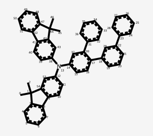 CC1(C)c2ccccc2-c2ccc(N(c3ccc(-c4cccc(-c5ccccc5)c4)c(-c4ccccc4)c3)c3ccc4c(c3)C(C)(C)c3ccccc3-4)cc21